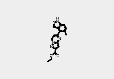 CCOC(=O)c1cc2nc(-c3c(C)ccc4[nH]ncc34)ccn2n1